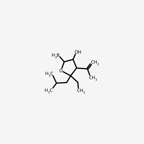 BC1OC(CC)(CC(C)C)C(C(=C)C)C1O